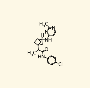 Cc1nccc(N[C@@H]2CC3([C@H](C)C(=O)Nc4ccc(Cl)cc4)CC2C3)n1